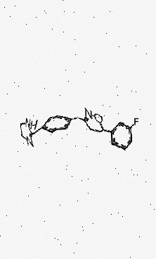 Fc1cccc(C2CC(c3ccc(C4=NCCN4)cc3)=NO2)c1